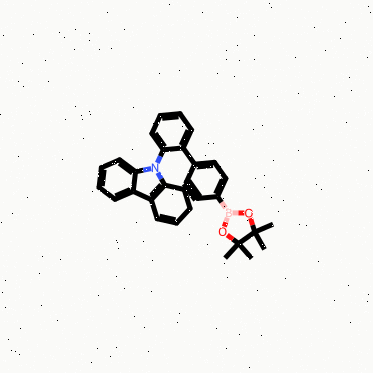 CC1(C)OB(c2c#cc(-c3ccccc3-n3c4c(c5ccccc53)C=CCC4)cc2)OC1(C)C